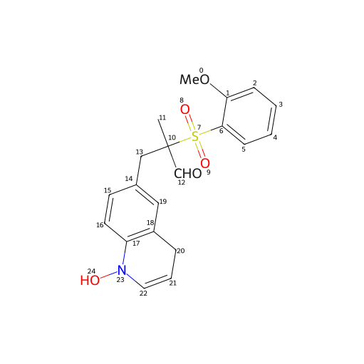 COc1ccccc1S(=O)(=O)C(C)(C=O)Cc1ccc2c(c1)CC=CN2O